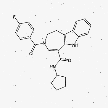 O=C(NC1CCCC1)C1=CN(C(=O)c2ccc(F)cc2)CCc2c1[nH]c1ccccc21